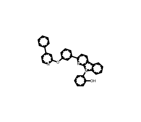 Oc1ccccc1-n1c2ccccc2c2ccc(-c3cccc(Oc4cc(-c5ccccc5)ccn4)c3)nc21